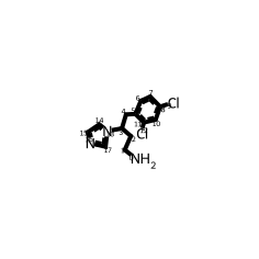 NCCC(Cc1ccc(Cl)cc1Cl)n1ccnc1